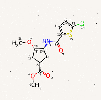 COC(=O)[C@@H]1C[C@H](NC(=O)c2ccc(Cl)s2)[C@@H](OC)C1